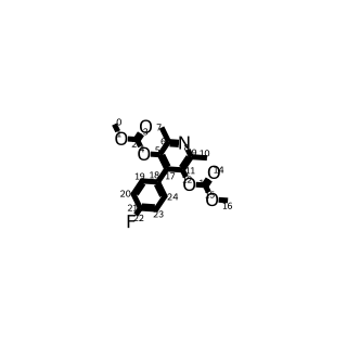 COC(=O)Oc1c(C)nc(C)c(OC(=O)OC)c1-c1ccc(F)cc1